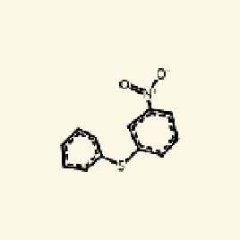 O=[N+]([O-])c1cccc(Sc2ccccc2)c1